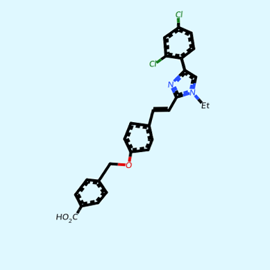 CCn1cc(-c2ccc(Cl)cc2Cl)nc1C=Cc1ccc(OCc2ccc(C(=O)O)cc2)cc1